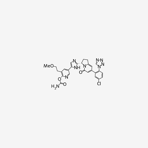 COCCc1cc(-c2cnc([C@@H]3CCc4cc(-c5cc(Cl)ccc5-n5cnnn5)cc(=O)n43)[nH]2)cnc1OC(N)=O